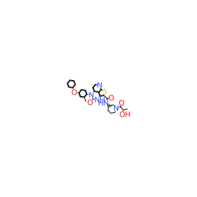 Cc1cc(Oc2ccccc2)ccc1N1C(=O)Nc2c(C(=O)N[C@@H]3CCCN(C(=O)C(C)O)C3)sc3nccc1c23